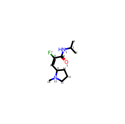 CC(C)NC(=O)/C(F)=C\C1CCCN1C